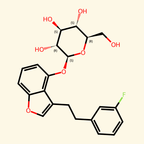 OC[C@H]1O[C@@H](Oc2cccc3occ(CCc4cccc(F)c4)c23)[C@H](O)[C@@H](O)[C@@H]1O